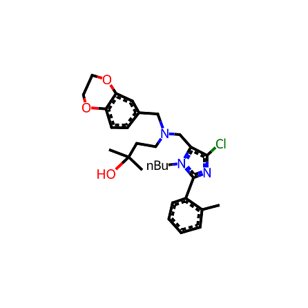 CCCCn1c(-c2ccccc2C)nc(Cl)c1CN(CCC(C)(C)O)Cc1ccc2c(c1)OCCO2